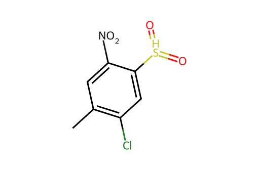 Cc1cc([N+](=O)[O-])c([SH](=O)=O)cc1Cl